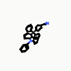 N#Cc1ccc([Si](c2ccccc2)(c2ccccc2)c2cccc3c2c2ccccc2n3-c2ccccc2)cc1